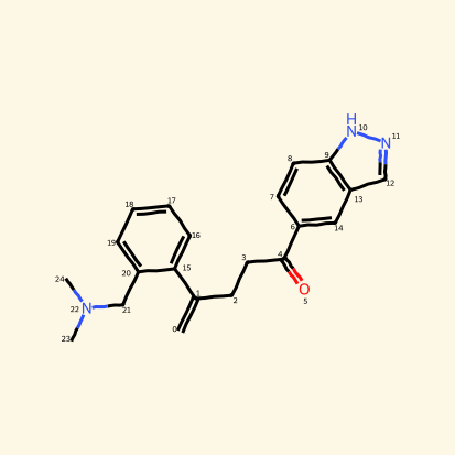 C=C(CCC(=O)c1ccc2[nH]ncc2c1)c1ccccc1CN(C)C